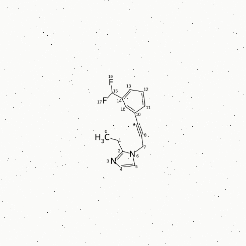 CCc1nccn1CC#Cc1cccc(C(F)F)c1